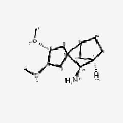 CO[C@@H]1CC2(C[C@H]1OC)C1CC[C@H](C1)[C@H]2N